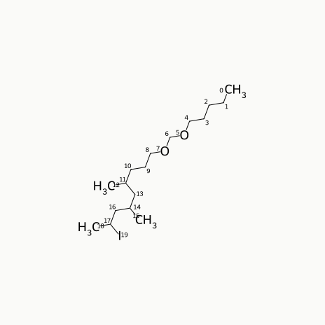 CCCCCOCOCCCC(C)CC(C)CC(C)I